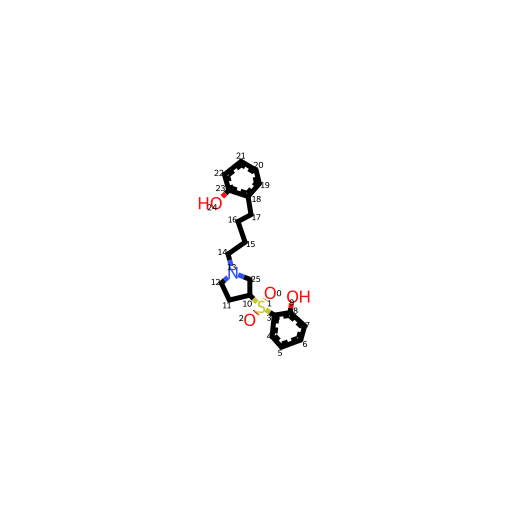 O=S(=O)(c1ccccc1O)C1CCN(CCCCc2ccccc2O)C1